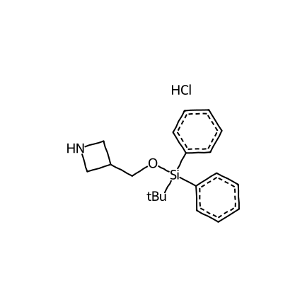 CC(C)(C)[Si](OCC1CNC1)(c1ccccc1)c1ccccc1.Cl